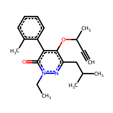 C#CC(C)Oc1c(CC(C)C)nn(CC)c(=O)c1-c1ccccc1C